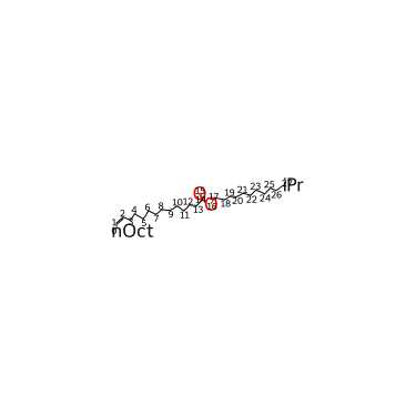 CCCCCCCC/C=C\CCCCCCCCCCCC(=O)OCCCCCCCCCCC(C)C